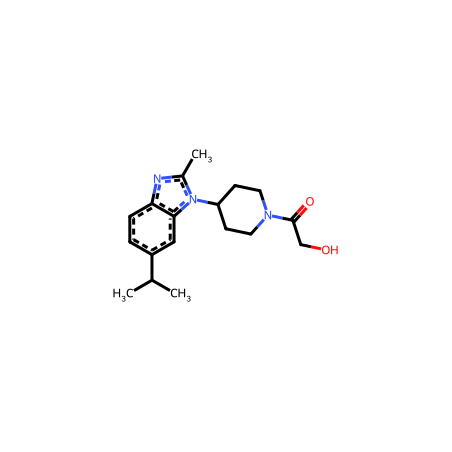 Cc1nc2ccc(C(C)C)cc2n1C1CCN(C(=O)CO)CC1